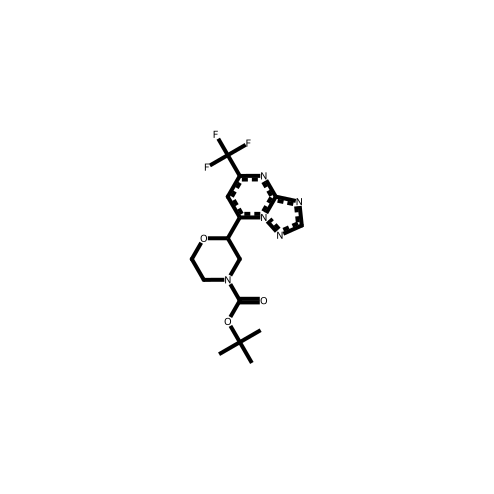 CC(C)(C)OC(=O)N1CCOC(c2cc(C(F)(F)F)nc3ncnn23)C1